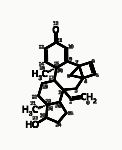 C=CC12CC34C=CC3(C4)C3=CC(=O)C=C[C@]3(C)C1CC[C@]1(C)C(O)CCC21